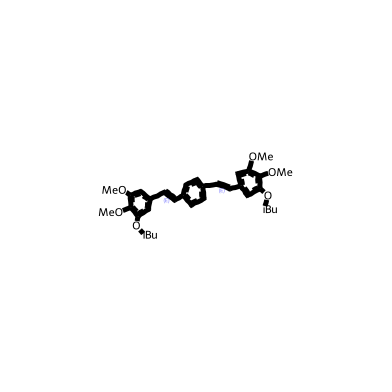 CCC(C)Oc1cc(/C=C/c2ccc(/C=C/c3cc(OC)c(OC)c(OC(C)CC)c3)cc2)cc(OC)c1OC